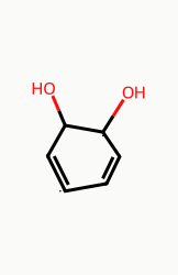 O[C]1C=C[C]=CC1O